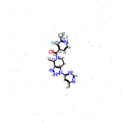 Cc1cc(-n2nnc3c2CCN(C(=O)c2ccnc(C(F)(F)F)c2F)C3C)ncn1